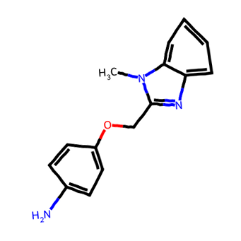 Cn1c(COc2ccc(N)cc2)nc2ccccc21